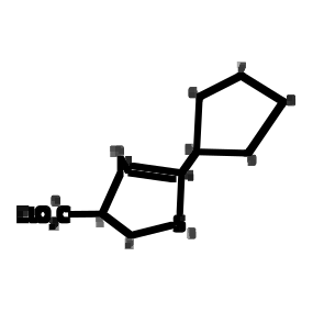 CCOC(=O)C1CSC(C2CCCC2)=N1